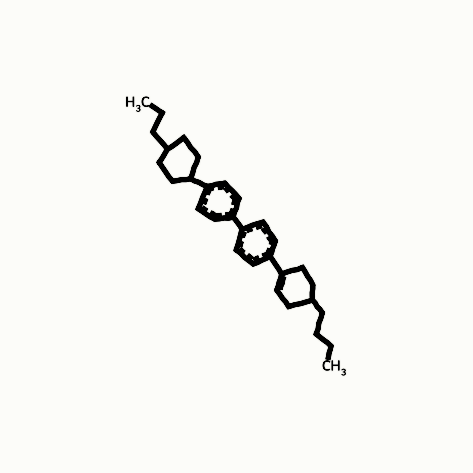 CCCCC1CC=C(c2ccc(-c3ccc(C4CCC(CCC)CC4)cc3)cc2)CC1